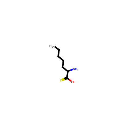 CCCCCC(N)C(O)=S